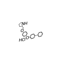 Cl.c1ccc(-c2ccc(Oc3ccc(OCC4CCCN4)cc3)cc2)cc1